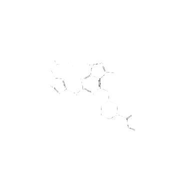 C=CC(=O)N1CCCC(Sc2nc(Nc3cnn(CC(C)C)c3)nc3[nH]nc(Cl)c23)C1